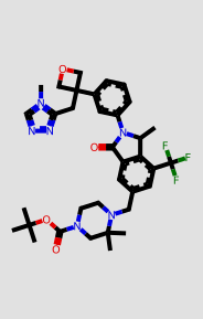 CC1c2c(cc(CN3CCN(C(=O)OC(C)(C)C)CC3(C)C)cc2C(F)(F)F)C(=O)N1c1cccc(C2(Cc3nncn3C)COC2)c1